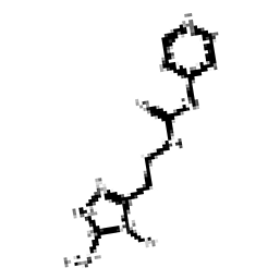 CC(C)N1C(CCNC(=O)Nc2ccncc2)=NNC1S(=O)(=O)O